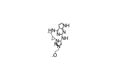 COCCn1cc(Nc2nc(NC(C)C3CC3)c3cc[nH]c3n2)nn1